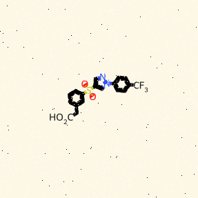 O=C(O)Cc1cccc(S(=O)(=O)c2cnn(-c3ccc(C(F)(F)F)cc3)c2)c1